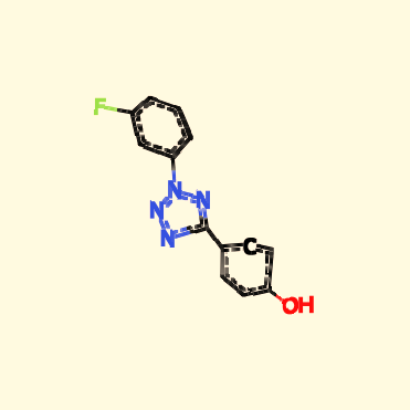 Oc1ccc(-c2nnn(-c3cccc(F)c3)n2)cc1